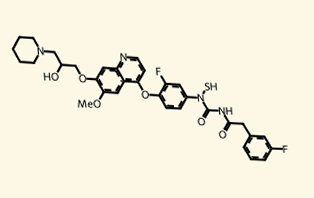 COc1cc2c(Oc3ccc(N(S)C(=O)NC(=O)Cc4cccc(F)c4)cc3F)ccnc2cc1OCC(O)CN1CCCCC1